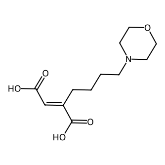 O=C(O)/C=C(\CCCCN1CCOCC1)C(=O)O